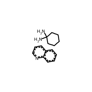 NC1(N)CCCCC1.c1ccc2ncccc2c1